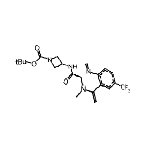 C=Nc1ccc(C(F)(F)F)cc1C(=C)N(C)CC(=O)NC1CN(C(=O)OC(C)(C)C)C1